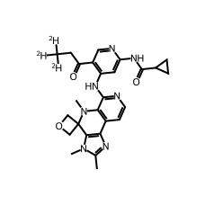 [2H]C([2H])([2H])CC(=O)c1cnc(NC(=O)C2CC2)cc1Nc1nccc2c1N(C)C1(COC1)c1c-2nc(C)n1C